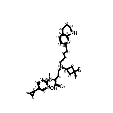 O=C(O)C(CCN(CCCCc1ccc2c(n1)NCCC2)C1CC(F)(F)C1)Nc1ncc(C2CC2)cn1